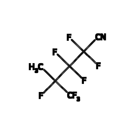 CC(F)(C(F)(F)F)C(F)(F)C(F)(F)C#N